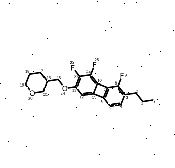 CCCc1ccc2c(c1F)-c1c-2cc(OCC2CCCOC2)c(F)c1F